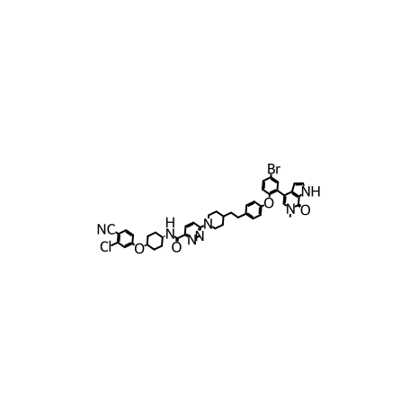 Cn1cc(-c2cc(Br)ccc2Oc2ccc(CCC3CCN(c4ccc(C(=O)N[C@H]5CC[C@H](Oc6ccc(C#N)c(Cl)c6)CC5)nn4)CC3)cc2)c2cc[nH]c2c1=O